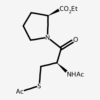 CCOC(=O)[C@@H]1CCCN1C(=O)[C@H](CSC(C)=O)NC(C)=O